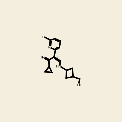 N=C(/C(=C\NC1CC(CO)C1)c1cccc(Cl)n1)C1CC1